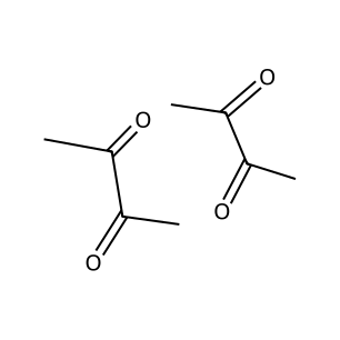 CC(=O)C(C)=O.CC(=O)C(C)=O